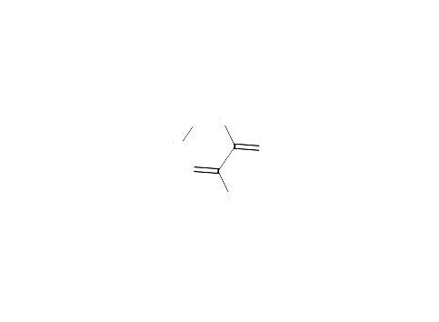 CC(=O)C(C)=O.CC(C)=O